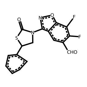 O=Cc1cc2c(N3CC(c4ccccc4)SC3=O)noc2c(F)c1F